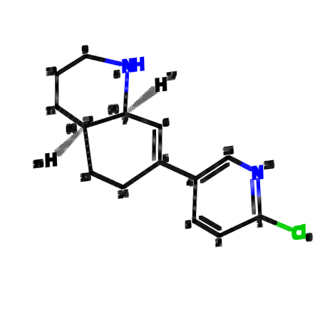 Clc1ccc(C2=C[C@@H]3NCCC[C@@H]3CC2)cn1